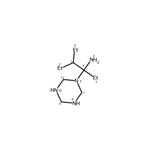 CCC(CC)C(N)(CC)N1CNCNC1